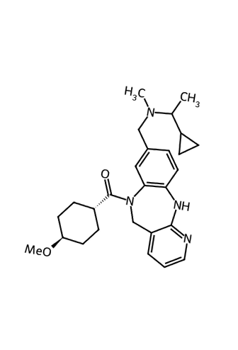 CO[C@H]1CC[C@H](C(=O)N2Cc3cccnc3Nc3ccc(CN(C)C(C)C4CC4)cc32)CC1